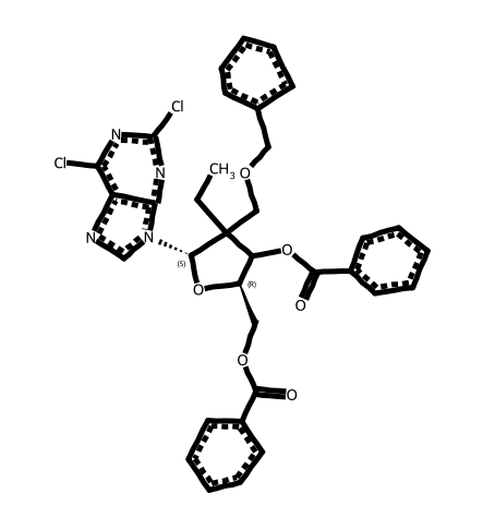 CCC1(COCc2ccccc2)C(OC(=O)c2ccccc2)[C@@H](COC(=O)c2ccccc2)O[C@@H]1n1cnc2c(Cl)nc(Cl)nc21